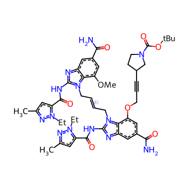 CCn1nc(C)cc1C(=O)Nc1nc2cc(C(N)=O)cc(OC)c2n1C/C=C/Cn1c(NC(=O)c2cc(C)nn2CC)nc2cc(C(N)=O)cc(OCC#CC3CCN(C(=O)OC(C)(C)C)C3)c21